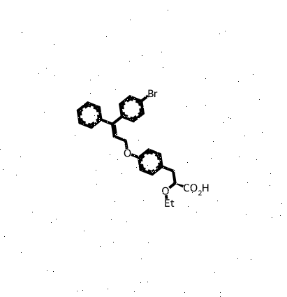 CCO[C@@H](Cc1ccc(OCC=C(c2ccccc2)c2ccc(Br)cc2)cc1)C(=O)O